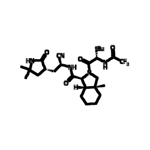 CC1(C)C[C@@H](C[C@@H](C#N)NC(=O)[C@@H]2[C@H]3CCCC[C@@]3(C)CN2C(=O)[C@@H](NC(=O)C(F)(F)F)C(C)(C)C)C(=O)N1